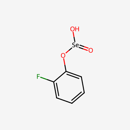 O=[Se](O)Oc1ccccc1F